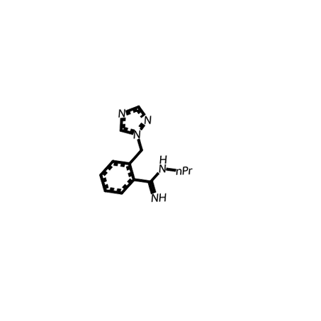 CCCNC(=N)c1ccccc1Cn1cncn1